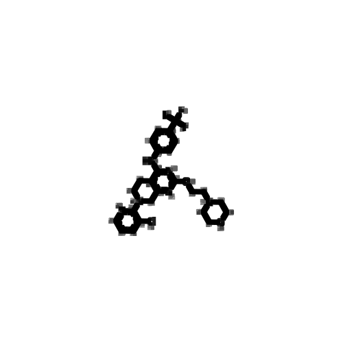 FC(F)(F)c1ccc(Nc2nc(OCCN3CCOCC3)nc3c2CCN(c2ncccc2Cl)C3)cc1